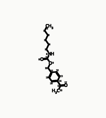 CCCCCCNC(=O)OCc1ccc(C(C)=O)cc1